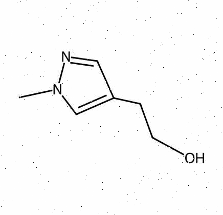 Cn1cc(CCO)cn1